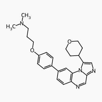 CN(C)CCCOc1ccc(-c2ccc3ncc4ncc(C5CCOCC5)n4c3c2)cc1